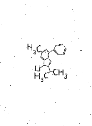 [Li][CH]1C(C(C)C)=Cc2c(-c3ccccc3)cc(C)cc21